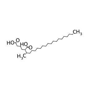 CCCCCCCCCCCCCCCCCCC(C)C(CCCC(=O)O)C(=O)O